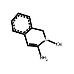 CC(C)(C)N1Cc2ccccc2C=C1N